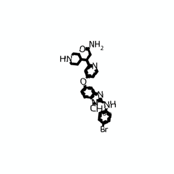 Cn1c(Nc2ccc(Br)cc2)nc2cc(Oc3ccnc(C(CC(N)=O)C4CCNCC4)c3)ccc21